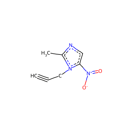 C#CCn1c([N+](=O)[O-])cnc1C